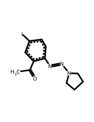 CC(=O)c1cc(I)ccc1/N=N/N1CCCC1